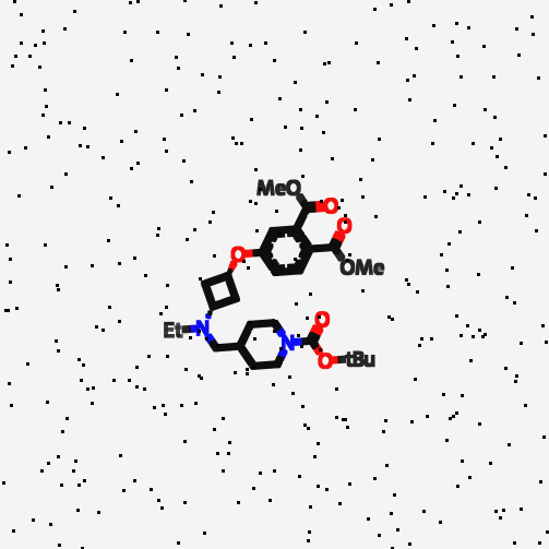 CCN(CC1CCN(C(=O)OC(C)(C)C)CC1)[C@H]1C[C@H](Oc2ccc(C(=O)OC)c(C(=O)OC)c2)C1